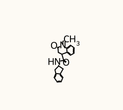 CCN1C(=O)CC(C(=O)NC2Cc3ccccc3C2)c2ccccc21